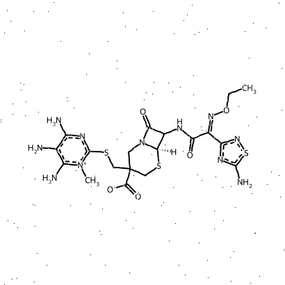 CCON=C(C(=O)NC1C(=O)N2CC(CSc3nc(N)c(N)c(N)[n+]3C)(C(=O)[O-])CS[C@H]12)c1nsc(N)n1